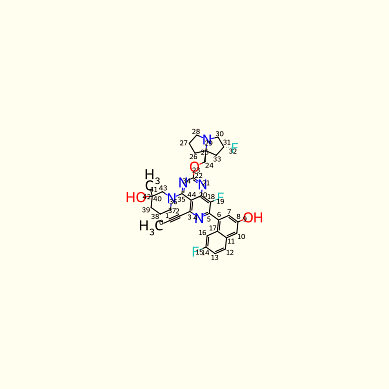 CC#Cc1nc(-c2cc(O)cc3ccc(F)cc23)c(F)c2nc(OC[C@@]34CCCN3C[C@H](F)C4)nc(N3CCCC(C)(O)C3)c12